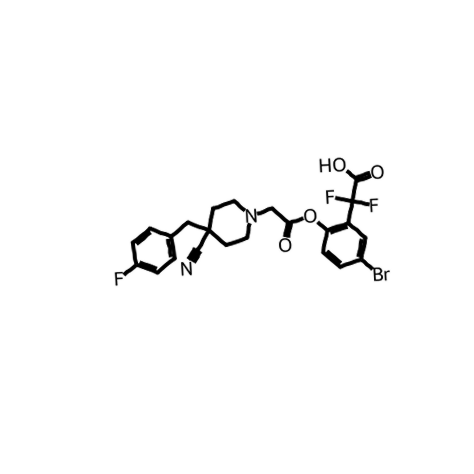 N#CC1(Cc2ccc(F)cc2)CCN(CC(=O)Oc2ccc(Br)cc2C(F)(F)C(=O)O)CC1